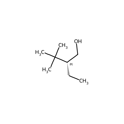 CC[C@@H](CO)C(C)(C)C